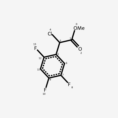 COC(=O)C(Cl)c1cc(F)c(F)cc1F